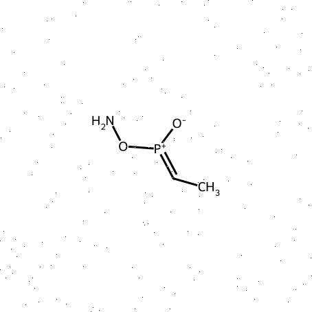 C/C=[P+](\[O-])ON